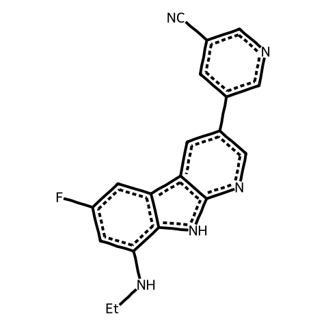 CCNc1cc(F)cc2c1[nH]c1ncc(-c3cncc(C#N)c3)cc12